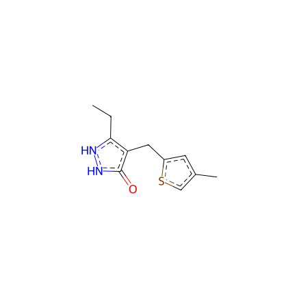 CCc1[nH][nH]c(=O)c1Cc1cc(C)cs1